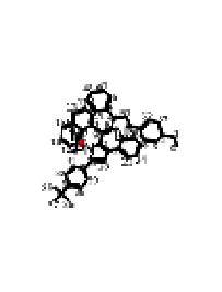 CCc1ccc(C2=N/C(=C(/c3cccc4ccccc34)c3c(-c4ccccc4)cc(-c4ccc(C(C)(C)C)cc4)n3B(C)F)C(c3ccccc3)=C2)cc1